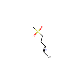 CS(=O)(=O)CC/C=C/C#N